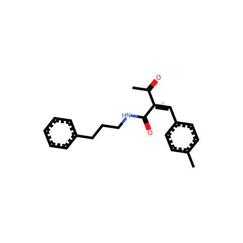 CC(=O)/C(=C/c1ccc(C)cc1)C(=O)NCCCc1ccccc1